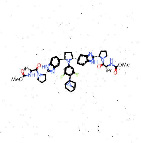 COC(=O)NC(C(=O)N1CCC[C@H]1c1nc2cc([C@H]3CC[C@H](c4ccc5[nH]c([C@@H]6CCCN6C(=O)[C@@H](NC(=O)OC)C(C)C)nc5c4)N3c3cc(F)c(N4CC5CCC4CC5)c(F)c3)ccc2[nH]1)C(C)C